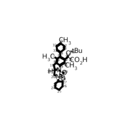 Cc1ccc(-c2c(C)c3c(c(C)c2[C@H](OC(C)(C)C)C(=O)O)N2[C@@H](C3)CN(C3CCCCC3)S2(=O)=O)cc1